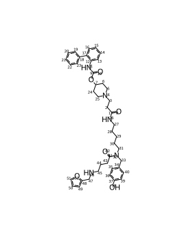 O=C(CCN1CCC(OC(=O)Nc2ccccc2-c2ccccc2)CC1)NCCCCCN(Cc1ccc(O)cc1)C(=O)CCCNCc1ccco1